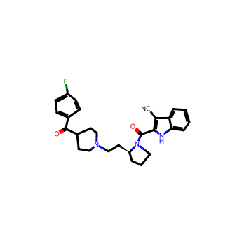 N#Cc1c(C(=O)N2CCC[C@H]2CCN2CCC(C(=O)c3ccc(F)cc3)CC2)[nH]c2ccccc12